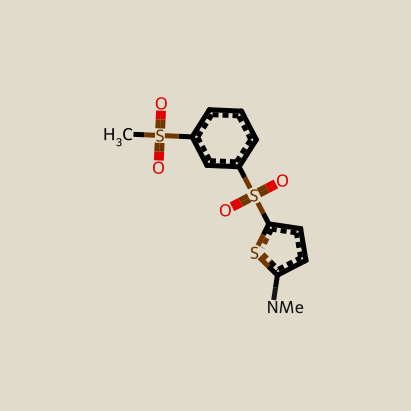 CNc1ccc(S(=O)(=O)c2cccc(S(C)(=O)=O)c2)s1